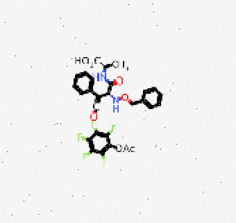 CC(=O)Oc1c(F)c(F)c(F)c(F)c1F.C[C@H](NC(=O)[C@@H](NOCc1ccccc1)C(=C=O)c1ccccc1)C(=O)O